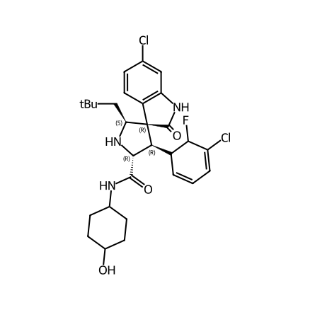 CC(C)(C)C[C@@H]1N[C@@H](C(=O)NC2CCC(O)CC2)[C@H](C2C=CC=C(Cl)C2F)[C@]12C(=O)Nc1cc(Cl)ccc12